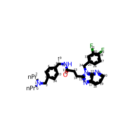 CCCN(CCC)Cc1ccc([C@H](C)NC(=O)CCc2nc3cccnc3n2Cc2ccc(F)c(F)c2)cc1